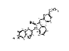 COc1cccc(Cn2c(=N)n(C(CO)Cc3ccc(C)cc3)c3ccccc32)n1